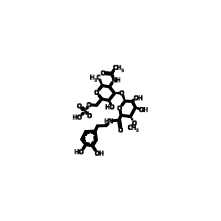 CO[C@@H]1C(C(=O)NCCc2ccc(O)c(O)c2)O[C@@H](O[C@@H]2C(NC(C)=O)[C@H](C)OC(COS(=O)(=O)O)[C@@H]2O)C(O)[C@H]1O